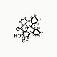 CCN1C(=O)C2=C(O)C(O)C=CN2C(C(c2ccccc2)c2ccccc2)N1CC